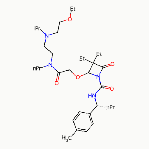 CCC[C@@H](NC(=O)N1C(=O)C(CC)(CC)C1OCC(=O)N(CCC)CCN(CCOCC)C(C)C)c1ccc(C)cc1